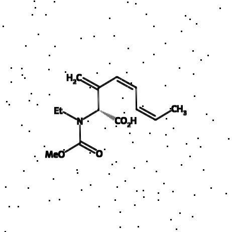 C=C(/C=C\C=C/C)[C@H](C(=O)O)N(CC)C(=O)OC